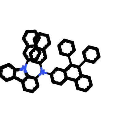 c1ccc(-c2c(-c3ccccc3)c3cc(N(c4ccc5ccccc5c4)c4cccc5c6ccccc6n(-c6ccc7ccccc7c6)c45)ccc3c3ccccc23)cc1